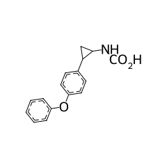 O=C(O)NC1CC1c1ccc(Oc2ccccc2)cc1